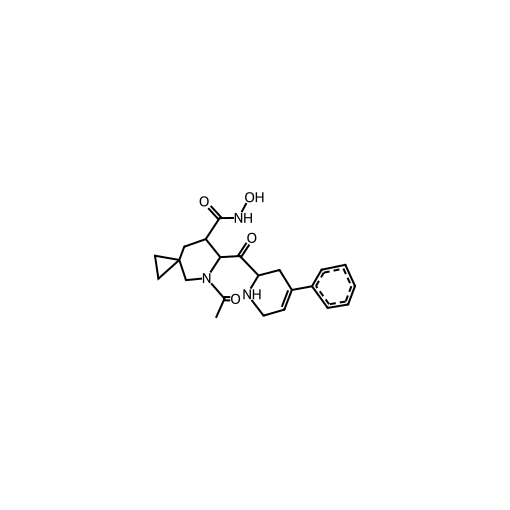 CC(=O)N1CC2(CC2)CC(C(=O)NO)C1C(=O)C1CC(c2ccccc2)=CCN1